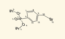 CC(C)OP(=O)(OC(C)C)c1ccc(CBr)cc1